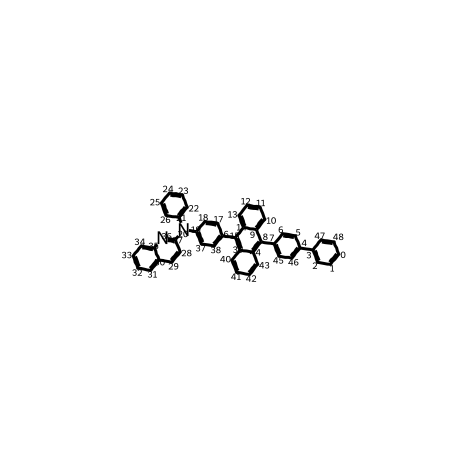 c1ccc(-c2ccc(-c3c4ccccc4c(-c4ccc(N(c5ccccc5)c5ccc6ccccc6n5)cc4)c4ccccc34)cc2)cc1